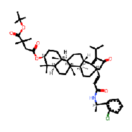 CC(C)C1=C2[C@H]3CC[C@@H]4[C@@]5(C)CC[C@H](OC(=O)CC(C)(C)C(=O)OC(C)(C)C)C(C)(C)[C@@H]5CC[C@@]4(C)[C@]3(C)CC[C@@]2(C=CC(=O)N[C@H](C)c2ccccc2Cl)CC1=O